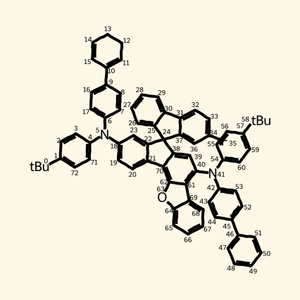 CC(C)(C)c1ccc(N(c2ccc(C3=CCCC=C3)cc2)c2ccc3c(c2)C2(c4ccccc4-c4ccc(F)cc42)c2cc(N(c4ccc(-c5ccccc5)cc4)c4ccc(C(C)(C)C)cc4)c4c(oc5ccccc54)c2-3)cc1